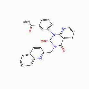 CNC(=O)c1cccc(-n2c(=O)n(Cc3ccc4ccccc4n3)c(=O)c3cccnc32)c1